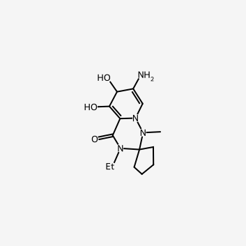 CCN1C(=O)C2=C(O)C(O)C(N)=CN2N(C)C12CCCC2